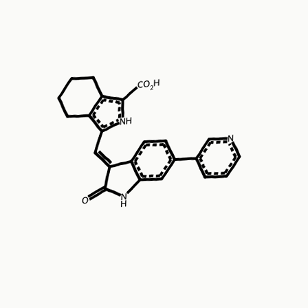 O=C1Nc2cc(-c3cccnc3)ccc2C1=Cc1[nH]c(C(=O)O)c2c1CCCC2